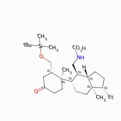 CC[C@H]1CC[C@H]2[C@H](CNC(=O)O)[C@@H]([C@@]3(C)CCC(=O)C[C@@H]3CO[Si](C)(C)C(C)(C)C)CC[C@]12C